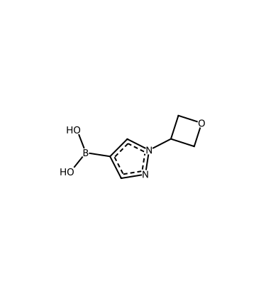 OB(O)c1cnn(C2COC2)c1